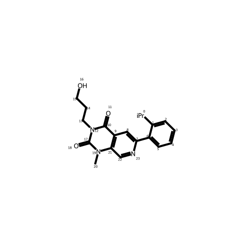 CC(C)c1ccccc1-c1cc2c(=O)n(CCCO)c(=O)n(C)c2cn1